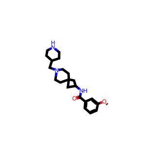 COc1cccc(C(=O)NC2CC3(CCN(CC4CCNCC4)CC3)C2)c1